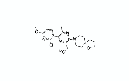 COc1ccc(-c2nc(CO)c(N3CCC4(CCCO4)CC3)nc2C)c(Cl)n1